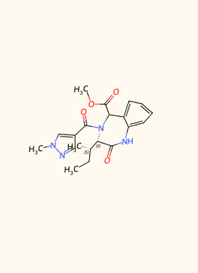 CC[C@H](C)[C@H]1C(=O)Nc2ccccc2C(C(=O)OC)N1C(=O)c1cnn(C)c1